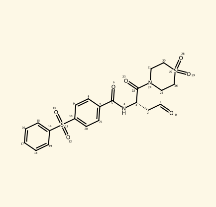 O=CC[C@H](NC(=O)c1ccc(S(=O)(=O)c2ccccc2)cc1)C(=O)N1CCS(=O)(=O)CC1